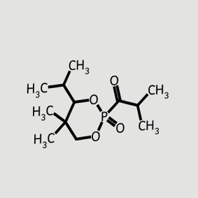 CC(C)C(=O)P1(=O)OCC(C)(C)C(C(C)C)O1